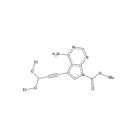 CCOC(C#Cc1cn(C(=O)OC(C)(C)C)c2ncnc(N)c12)OCC